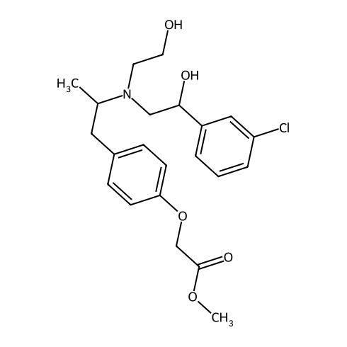 COC(=O)COc1ccc(CC(C)N(CCO)CC(O)c2cccc(Cl)c2)cc1